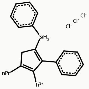 CCCC1=[C]([Ti+3])C(c2ccccc2)=C([SiH2]c2ccccc2)C1.[Cl-].[Cl-].[Cl-]